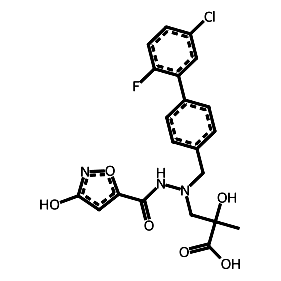 CC(O)(CN(Cc1ccc(-c2cc(Cl)ccc2F)cc1)NC(=O)c1cc(O)no1)C(=O)O